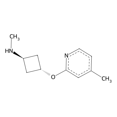 CN[C@H]1C[C@H](Oc2cc(C)ccn2)C1